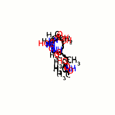 CC[C@H]1C[C@H](C)[C@@]2(NC1=O)O[C@@H](C[C@H](O)[C@@H](C)CC/C=C/C=C(\C)[C@@H]1C/C=C/C=C/[C@H](O)[C@H](C)[C@@H](O)[C@@H](CCC(C)=O)C(=O)N[C@@H](C(C)C)C(=O)N[C@@H](Cc3cccc(O)n3)C(=O)N3CCCC(N3)C(=O)O1)[C@H](C)C=C2C